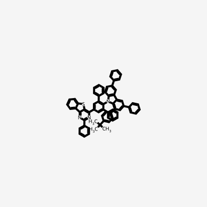 CC(C)(C)c1ccc(-c2cc(-c3ccccc3)cc3c4cc(-c5ccccc5)ccc4n(-c4c(-c5ccccc5)cc(-c5nc(-c6ccccc6)nc6c5sc5ccccc56)cc4-c4ccccc4)c23)cc1